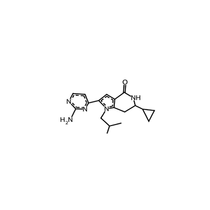 CC(C)Cn1c(-c2ccnc(N)n2)cc2c1CC(C1CC1)NC2=O